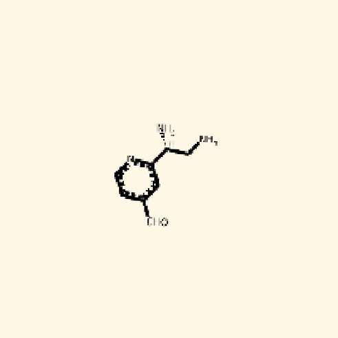 NC[C@@H](N)c1cc(C=O)ccn1